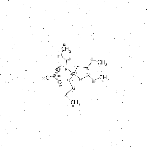 CCCC[P+](CCCC)(CCCC)CCCC.O=P(=O)[O-]